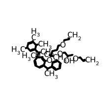 C=CCOCC(O)COC(COCC=C)CC(C)(C)OC1=CC(C)(C(C)C2=CC(C)C=C(C)C2C)C=CC=C1C(C)c1ccccc1